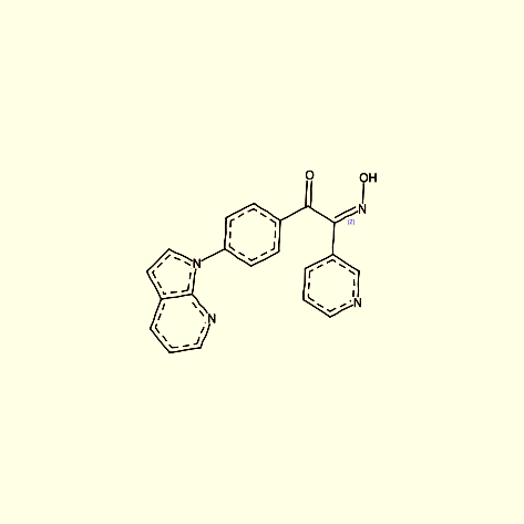 O=C(/C(=N\O)c1cccnc1)c1ccc(-n2ccc3cccnc32)cc1